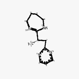 C[C@@H](Cc1ncccn1)C1=NCCCCN1